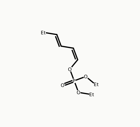 CC/C=C/C=C\OP(=O)(OCC)OCC